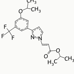 CC(C)OC(=O)/C=C/n1ccc(-c2cc(OC(C)C)cc(C(F)(F)F)c2)n1